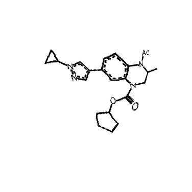 CC(=O)N1c2ccc(-c3cnn(C4CC4)c3)cc2N(C(=O)OC2CCCC2)CC1C